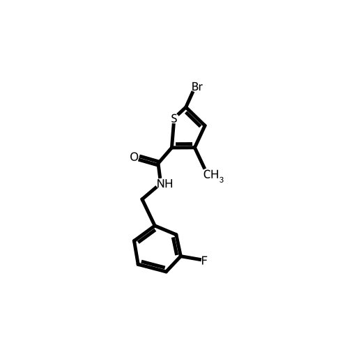 Cc1cc(Br)sc1C(=O)NCc1cccc(F)c1